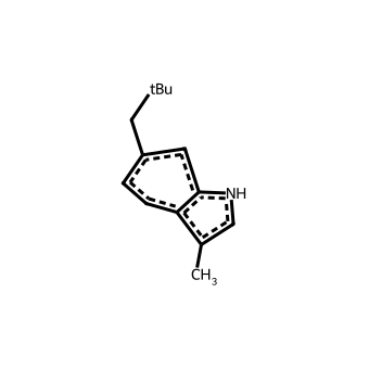 Cc1c[nH]c2cc(CC(C)(C)C)ccc12